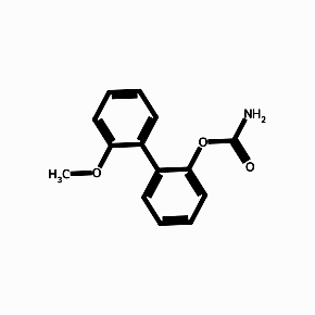 COc1ccccc1-c1ccccc1OC(N)=O